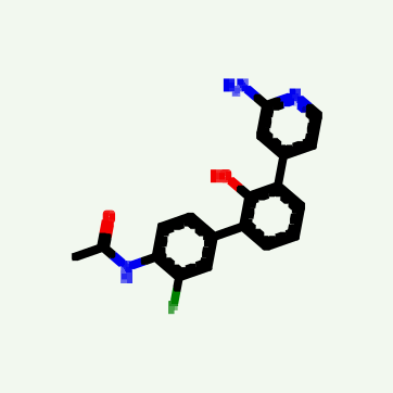 CC(=O)Nc1ccc(-c2cccc(-c3ccnc(N)c3)c2O)cc1F